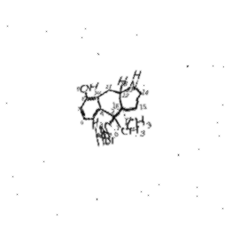 Br.CC1(C)c2cccc(O)c2C[C@@H]2NCC[C@]21C